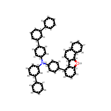 c1ccc(-c2cccc(-c3ccc(N(c4ccc(-c5cccc6oc7c8ccccc8ccc7c56)cc4)c4cccc(-c5ccccc5)c4)cc3)c2)cc1